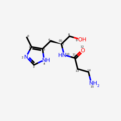 Cc1nc[nH]c1C[C@@H](CO)NC(=O)CCN